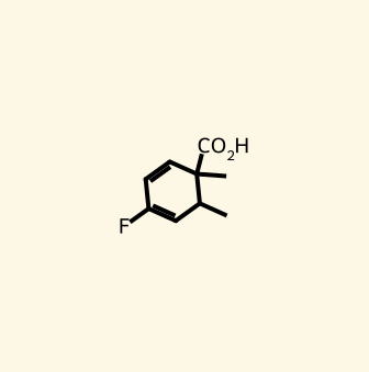 CC1C=C(F)C=CC1(C)C(=O)O